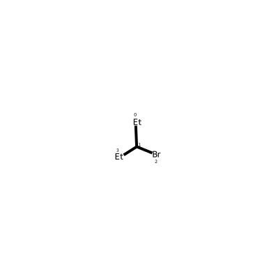 [CH2]CC(Br)C[CH2]